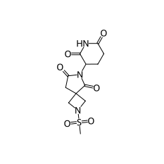 CS(=O)(=O)N1CC2(CC(=O)N(C3CCC(=O)NC3=O)C2=O)C1